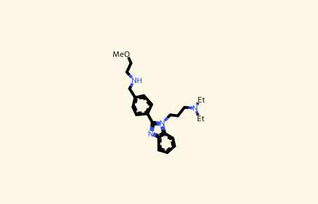 CCN(CC)CCCn1c(-c2ccc(CNCCOC)cc2)nc2ccccc21